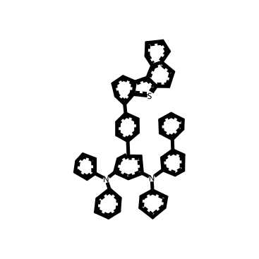 c1ccc(-c2cccc(N(c3ccccc3)c3cc(-c4ccc(-c5cccc6c5sc5ccc7ccccc7c56)cc4)cc(N(c4ccccc4)c4ccccc4)c3)c2)cc1